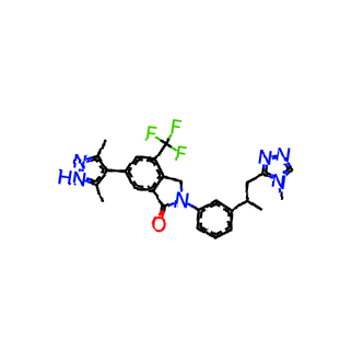 Cc1n[nH]c(C)c1-c1cc2c(c(C(F)(F)F)c1)CN(c1cccc(C(C)Cc3nncn3C)c1)C2=O